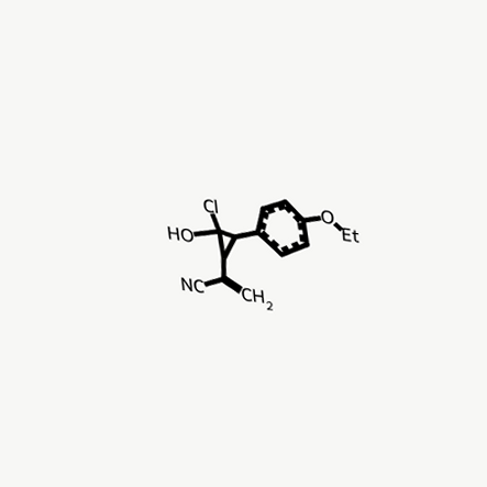 C=C(C#N)C1C(c2ccc(OCC)cc2)C1(O)Cl